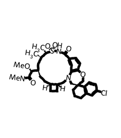 CNC(=O)[C@@H](OC)[C@@H]1CC[C@@H]2CC[C@H]2CN2C[C@@]3(CCCc4cc(Cl)ccc43)COc3ccc(cc32)C(=O)NS(=O)(=O)[C@H](C)[C@@H](C)C1